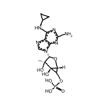 C[C@]1(O)[C@H](n2cnc3c(NC4CC4)nc(N)nc32)O[C@@H]2C(OP(=O)(O)O)[C@@]21O